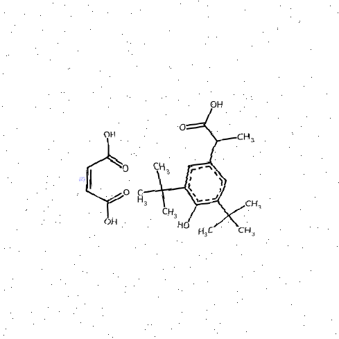 CC(C(=O)O)c1cc(C(C)(C)C)c(O)c(C(C)(C)C)c1.O=C(O)/C=C\C(=O)O